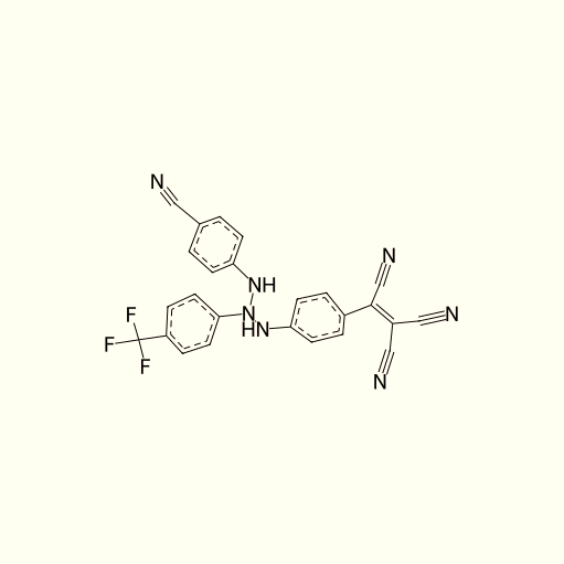 N#CC(C#N)=C(C#N)c1ccc(NN(Nc2ccc(C#N)cc2)c2ccc(C(F)(F)F)cc2)cc1